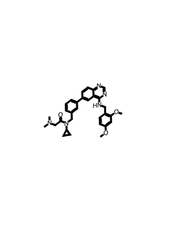 COc1ccc(CNc2ncnc3ccc(-c4cccc(CN(C(=O)CN(C)C)C5CC5)c4)cc23)c(OC)c1